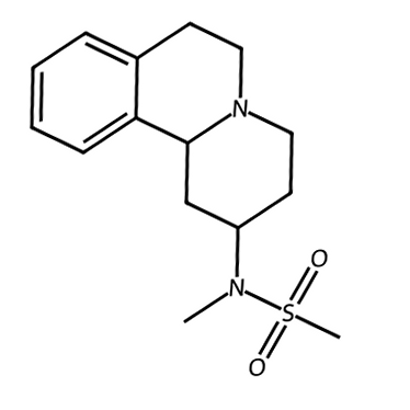 CN(C1CCN2CCc3ccccc3C2C1)S(C)(=O)=O